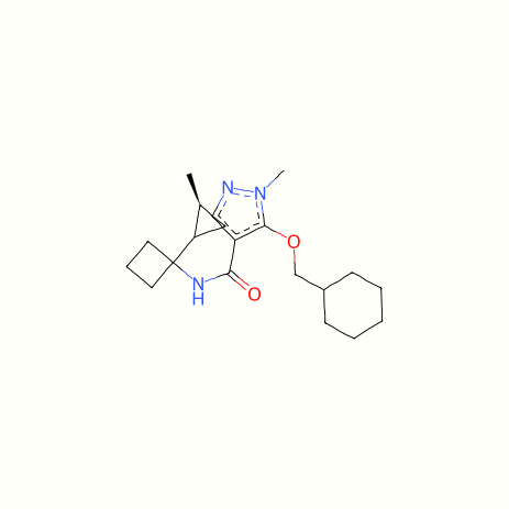 C[C@H]1CC1C1(NC(=O)c2cnn(C)c2OCC2CCCCC2)CCC1